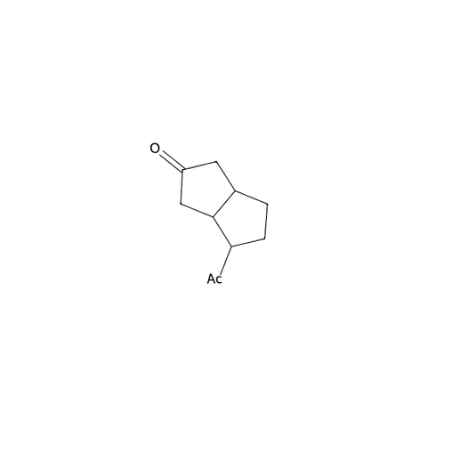 CC(=O)C1CCC2CC(=O)CC21